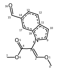 CO/C=C(/C(=O)OC)n1ccc2ccc(C=O)cc21